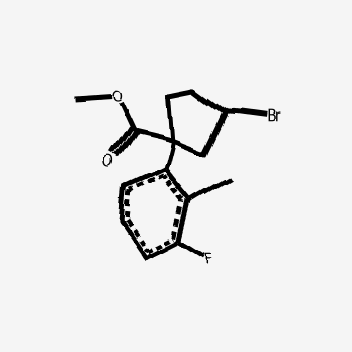 COC(=O)C1(c2cccc(F)c2C)CCC(Br)C1